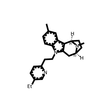 CCc1ccc(CCn2c3c(c4cc(C)ccc42)[C@H]2CC[C@@H](C3)N2C)nc1